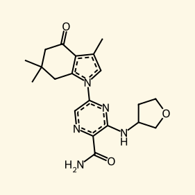 Cc1cn(-c2cnc(C(N)=O)c(NC3CCOC3)n2)c2c1C(=O)CC(C)(C)C2